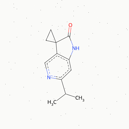 CC(C)c1cc2c(cn1)C1(CC1)C(=O)N2